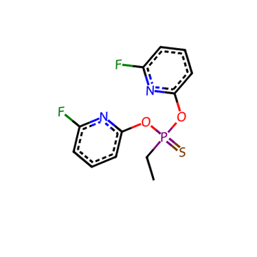 CCP(=S)(Oc1cccc(F)n1)Oc1cccc(F)n1